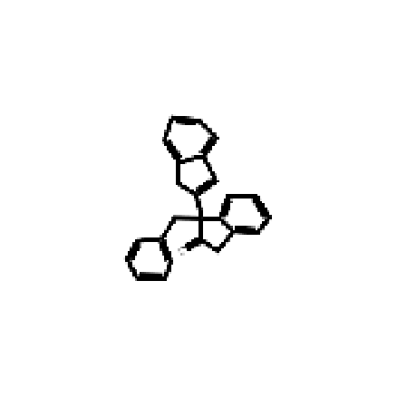 O=C1Cc2ccccc2C1(Cc1ccccc1)C1=Cc2ccccc2C1